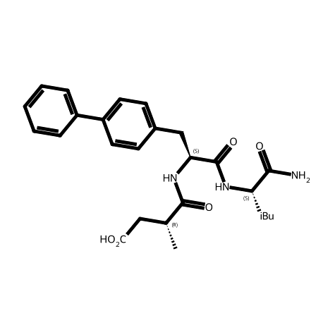 CCC(C)[C@H](NC(=O)[C@H](Cc1ccc(-c2ccccc2)cc1)NC(=O)[C@H](C)CC(=O)O)C(N)=O